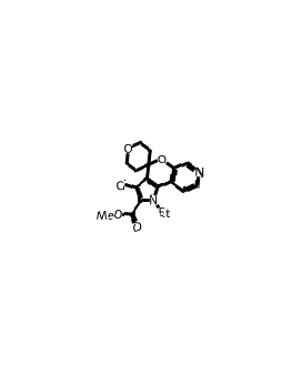 CCn1c(C(=O)OC)c(Cl)c2c1-c1ccncc1OC21CCOCC1